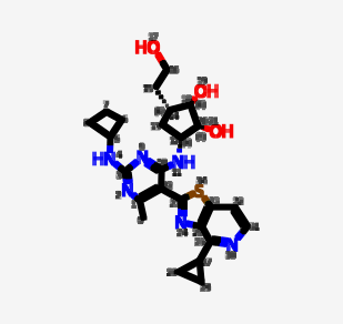 Cc1nc(NC2CCC2)nc(N[C@@H]2C[C@H](CCO)[C@@H](O)[C@H]2O)c1-c1nc2c(C3CC3)nccc2s1